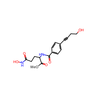 COC(=O)C(CCC(=O)NO)NC(=O)c1ccc(C#CCCO)cc1